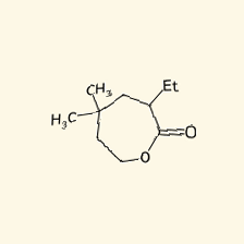 CCC1CC(C)(C)CCOC1=O